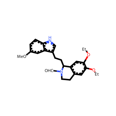 CCOc1cc2c(cc1OCC)C(CCc1c[nH]c3ccc(OC)cc13)N(C=O)CC2